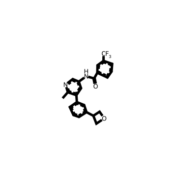 Cc1ncc(NC(=O)c2cccc(C(F)(F)F)c2)cc1-c1cccc(C2COC2)c1